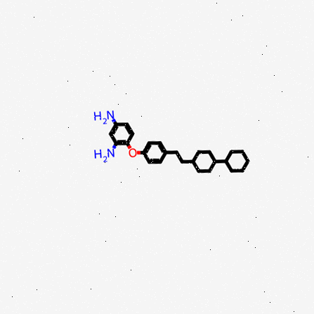 Nc1ccc(Oc2ccc(CCC3CCC(C4CCCCC4)CC3)cc2)c(N)c1